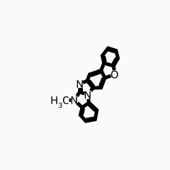 Cn1c2ccccc2n2c3cc4oc5ccccc5c4cc3nc12